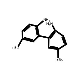 CCCCc1ccc(N)c(-c2cc(CCCC)ccc2N)c1